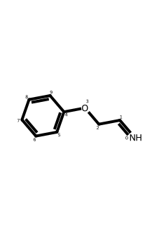 N=CCOc1ccccc1